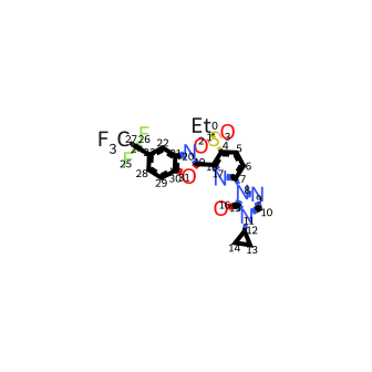 CCS(=O)(=O)c1ccc(-n2ncn(C3CC3)c2=O)nc1-c1nc2cc(C(F)(F)C(F)(F)F)ccc2o1